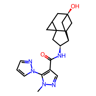 Cn1ncc(C(=O)N[C@H]2CC34CC3C[C@@]3(O)CC2C4C3)c1-n1cccn1